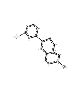 Cc1ccc2nc(-c3cccc(C)n3)ccc2c1